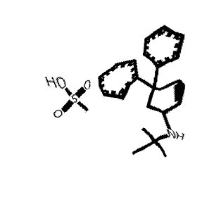 CC(C)(C)NC1C=CC(c2ccccc2)(c2ccccc2)C1.CS(=O)(=O)O